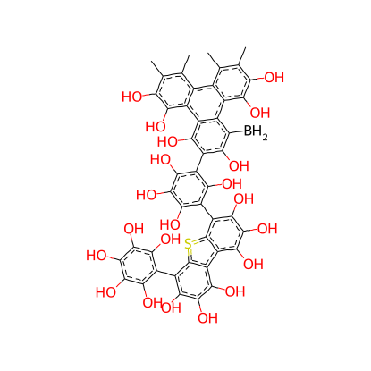 Bc1c(O)c(-c2c(O)c(O)c(O)c(-c3c(O)c(O)c(O)c4c3sc3c(-c5c(O)c(O)c(O)c(O)c5O)c(O)c(O)c(O)c34)c2O)c(O)c2c1c1c(O)c(O)c(C)c(C)c1c1c(C)c(C)c(O)c(O)c12